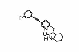 O=C1NC2CCCCC2[C@@H]1Cc1ccc(C#Cc2cccc(F)c2)cn1